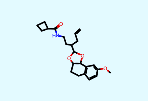 C=CCC(CCNC(=O)C1CCC1)C1OC2CCc3ccc(OC)cc3C2O1